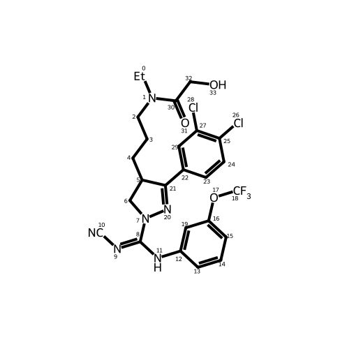 CCN(CCCC1CN(/C(=N\C#N)Nc2cccc(OC(F)(F)F)c2)N=C1c1ccc(Cl)c(Cl)c1)C(=O)CO